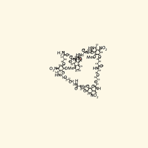 COc1cc(C(C)NC(=O)COCCOCCNC(=O)CCCOc2cc([N+](=O)[O-])c(C(C)NC(=O)COCCOCCNC(=O)CCCOc3cc([N+](=O)[O-])c(C(C)NC(=O)CNC(=O)CNC(=O)CNC(=O)OCC4c5ccccc5-c5ccccc54)cc3OC)cc2OC)c([N+](=O)[O-])cc1OCCCC(N)=O